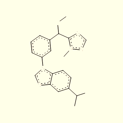 COC(c1cccc(-n2cnc3cc(C(C)O)ccc32)c1)c1ncnn1C